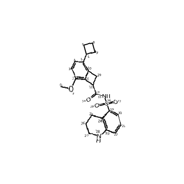 COc1ccc(C2CCC2)c2c1C(C(=O)NS(=O)(=O)c1cccc3c1CCCN3)C2